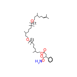 CCC(C)(OCCC(C)CCC=C(C)C)C(C)(C)CCCC(C)CCOC(C)(CC)C(C)(C)CCCC(C)CCOC(=O)CC(C(=O)ON)c1ccccc1